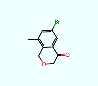 Cc1cc(Br)cc2c1COCC2=O